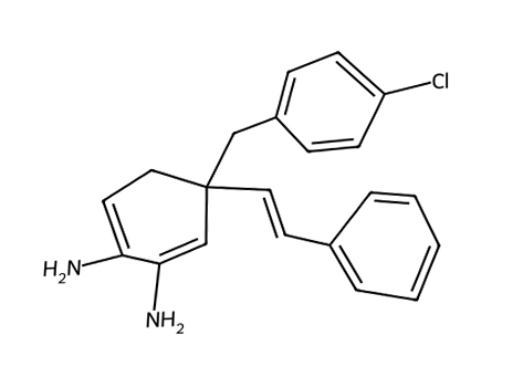 NC1=CCC(C=Cc2ccccc2)(Cc2ccc(Cl)cc2)C=C1N